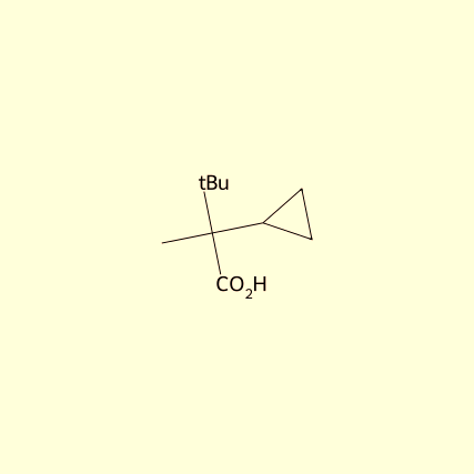 CC(C)(C)C(C)(C(=O)O)C1CC1